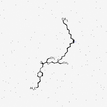 CCCCCCCC/C=C\CCCCCCCCOC(CC)CCOC(CC)C(=O)CCN1CCN(CCCC)CC1